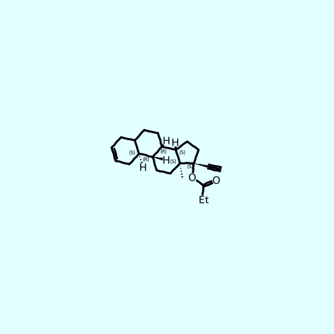 C#C[C@]1(OC(=O)CC)CC[C@H]2[C@@H]3CCC4CC=CC[C@@H]4[C@H]3CC[C@@]21C